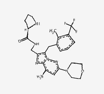 Cc1c(Cc2c(CNC(=O)[C@H]3CCCN3)nc3c(N)cc(N4CCOCC4)nn23)cccc1C(F)(F)F